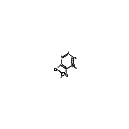 [CH3][Cr].c1ccncc1